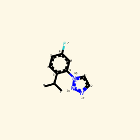 CC(C)c1ccc(F)cc1-n1ccnn1